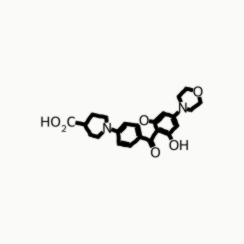 O=C(O)C1CCN(c2ccc3c(=O)c4c(O)cc(N5CCOCC5)cc4oc3c2)CC1